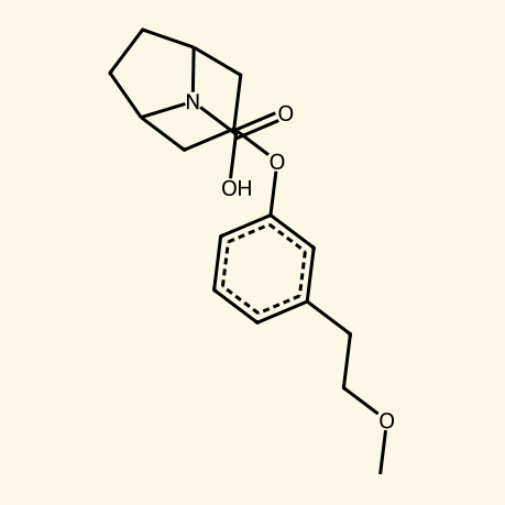 COCCc1cccc(OC2CC3CCC(C2)N3C(=O)O)c1